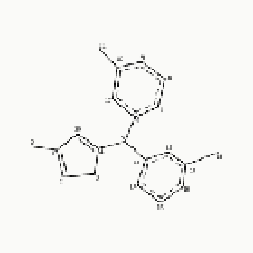 CC1=CCC(C(c2cccc(C)c2)c2cccc(C)c2)=C1